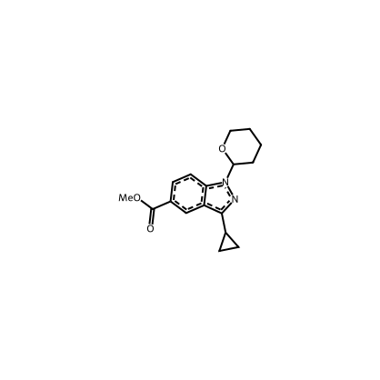 COC(=O)c1ccc2c(c1)c(C1CC1)nn2C1CCCCO1